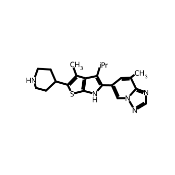 Cc1c(C2CCNCC2)sc2[nH]c(-c3cc(C)c4ncnn4c3)c(C(C)C)c12